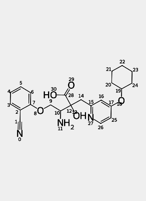 N#Cc1ccccc1OCC(N)C(O)(Cc1cc(OC2CCCCC2)ccn1)C(=O)O